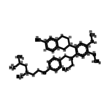 CCN(Cc1ccc(OCCN(C)CC(C)C)cc1)c1cc(OC)c(OC)cc1C1CCc2cc(O)ccc2C1